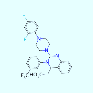 O=C(O)CC1c2ccccc2N=C(N2CCN(c3ccc(F)cc3F)CC2)N1c1cccc(C(F)(F)F)c1